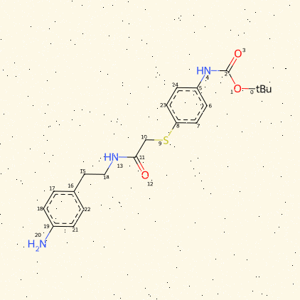 CC(C)(C)OC(=O)Nc1ccc(SCC(=O)NCCc2ccc(N)cc2)cc1